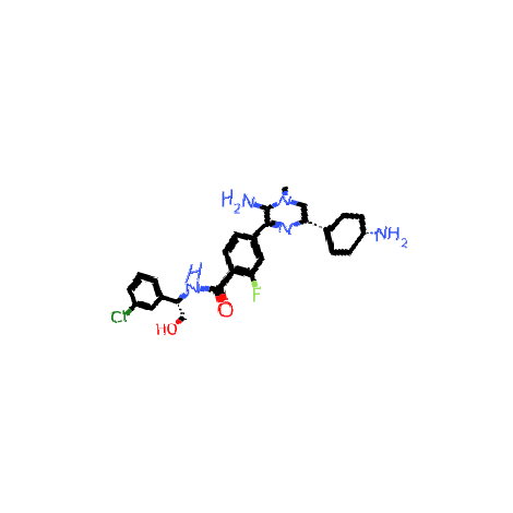 CN1CC([C@H]2CC[C@@H](N)CC2)N=C(c2ccc(C(=O)N[C@H](CO)c3cccc(Cl)c3)c(F)c2)C1N